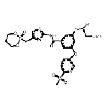 CC[C@@H](COC)Oc1cc(Oc2ccc(S(C)(=O)=O)nc2)cc(C(=O)Nc2nc(CP3(=O)OCCCO3)cs2)c1